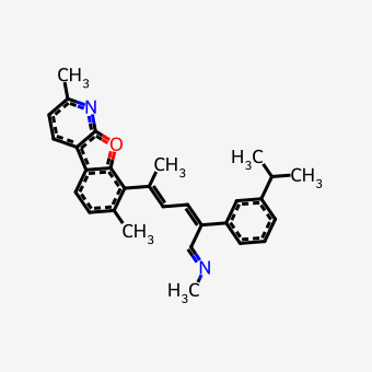 C/N=C/C(=C\C=C(/C)c1c(C)ccc2c1oc1nc(C)ccc12)c1cccc(C(C)C)c1